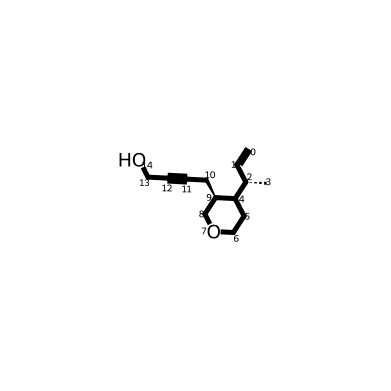 C=C[C@H](C)C1CCOC[C@H]1CC#CCO